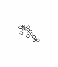 c1ccc(-c2nc(-c3cccc4c3sc3c4ccc4c3c3ccccc3n4-c3ccc4c(c3)oc3ccccc34)nc3ccccc23)cc1